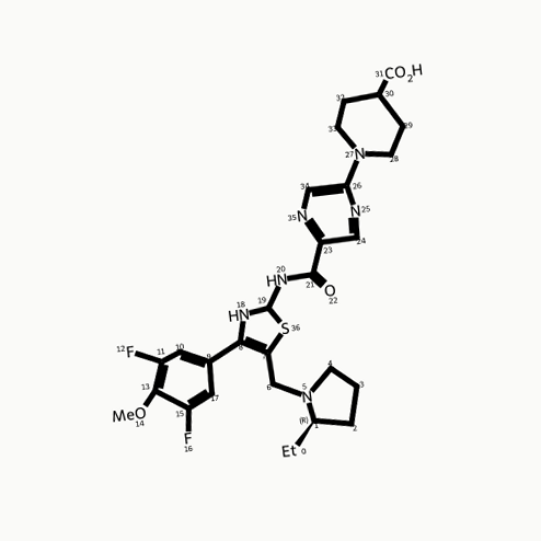 CC[C@@H]1CCCN1CC1=C(c2cc(F)c(OC)c(F)c2)NC(NC(=O)c2cnc(N3CCC(C(=O)O)CC3)cn2)S1